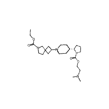 CCOC(=O)N1CCC2(CC(N3CCC([C@@H]4CCCN4C(=O)OCCN(C)C)CC3)C2)C1